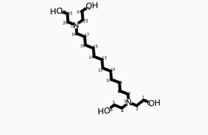 OCCN(CCO)CCCCCCCCCCCCN(CCO)CCO